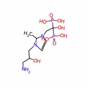 CC1N(CC(O)CN)C=CN1CC(O)(P(=O)(O)O)P(=O)(O)O